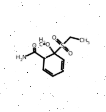 CCS(=O)(=O)C1(OC)C=CC=CC1C(N)=O